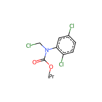 CC(C)OC(=O)N(CCl)c1cc(Cl)ccc1Cl